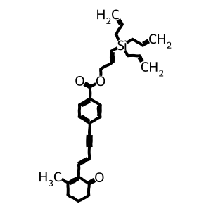 C=CC[Si](C=CCOC(=O)c1ccc(C#CC=CC2=C(C)CCCC2=O)cc1)(CC=C)CC=C